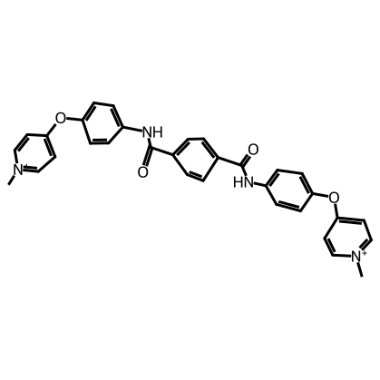 C[n+]1ccc(Oc2ccc(NC(=O)c3ccc(C(=O)Nc4ccc(Oc5cc[n+](C)cc5)cc4)cc3)cc2)cc1